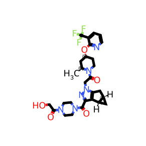 C[C@@H]1C[C@H](Oc2ncccc2C(F)(F)F)CCN1C(=O)Cn1nc(C(=O)N2CCN(C(=O)CO)CC2)c2c1C[C@H]1C[C@@H]21